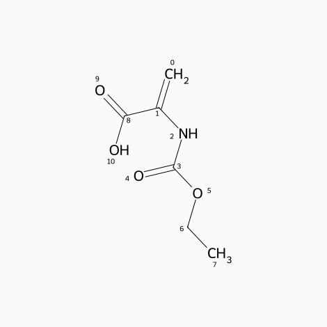 C=C(NC(=O)OCC)C(=O)O